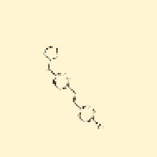 CC(=O)c1ccc(/C=C/c2ccc(SC3CCCC3)cc2)cc1